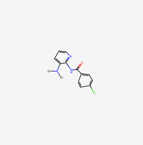 CCN(CC)c1cccnc1NC(=O)c1ccc(Cl)cc1